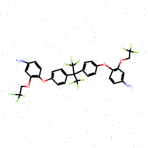 Nc1ccc(Oc2ccc(C(c3ccc(Oc4ccc(N)cc4OCC(F)(F)F)cc3)(C(F)(F)F)C(F)(F)F)cc2)c(OCC(F)(F)F)c1